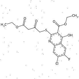 CCOC(=O)CC(=O)CSc1nc2cc(Cl)c(F)cc2c(O)c1C(=O)OCC